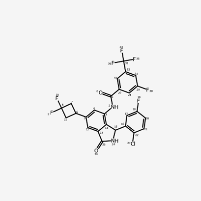 O=C(Nc1cc(C2CC(F)(F)C2)cc2c1C(c1cc(F)ccc1Cl)NC2=O)c1cc(F)cc(C(F)(F)F)c1